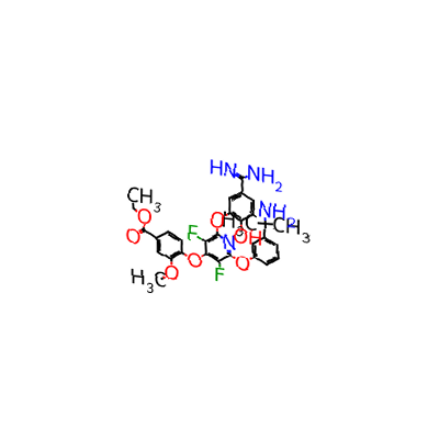 CCOC(=O)c1ccc(Oc2c(F)c(Oc3cccc(C(C)(C)N)c3)nc(Oc3cc(C(=N)N)ccc3O)c2F)c(OC)c1